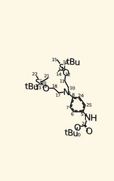 CC(C)(C)OC(=O)Nc1ccc(N(CCO[Si](C)(C)C(C)(C)C)CCO[Si](C)(C)C(C)(C)C)cc1